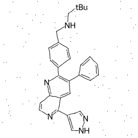 CC(C)(C)CNCc1ccc(-c2nc3ccnc(-c4cn[nH]c4)c3cc2-c2ccccc2)cc1